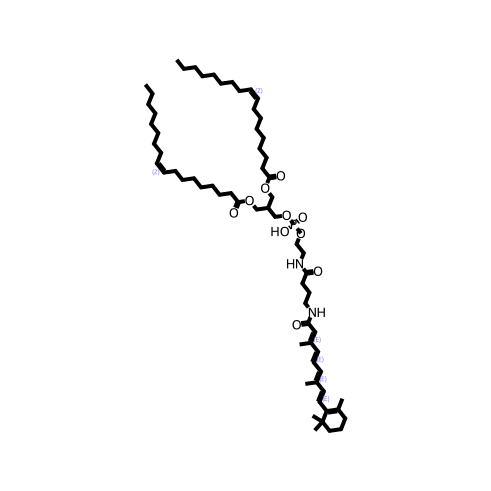 CCCCCCCC/C=C\CCCCCCCC(=O)OCC(COC(=O)CCCCCCC/C=C\CCCCCCCC)COP(=O)(O)OCCNC(=O)CCCNC(=O)/C=C(C)/C=C/C=C(C)/C=C/C1=C(C)CCCC1(C)C